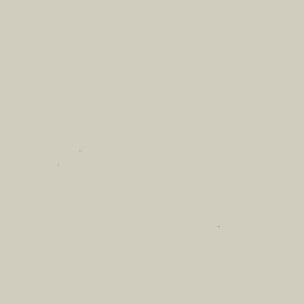 CCC(C)(CC)Oc1ccc(C2(c3ccc(OC(=O)C(C)(CC)CC)c(C)c3)CCCCC2)cc1C